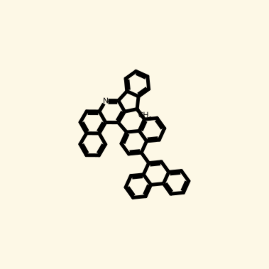 CC12c3ccccc3-c3nc4ccc5ccccc5c4c(c31)-c1ccc(-c3cc4ccccc4c4ccccc34)c3cccc2c13